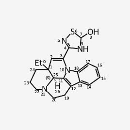 CCC12C=C(C3=NSC(O)N3)n3c4c(c5ccccc53)CCN(CCC1)[C@H]42